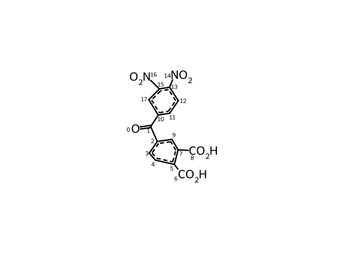 O=C(c1ccc(C(=O)O)c(C(=O)O)c1)c1ccc([N+](=O)[O-])c([N+](=O)[O-])c1